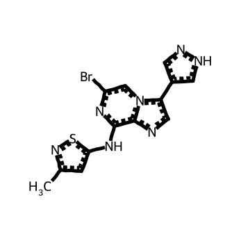 Cc1cc(Nc2nc(Br)cn3c(-c4cn[nH]c4)cnc23)sn1